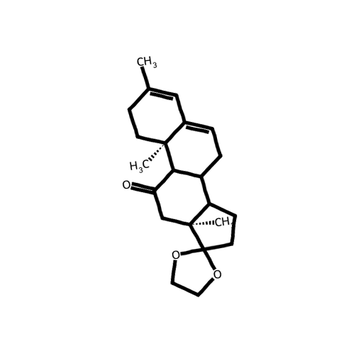 CC1=CC2=CCC3C(C(=O)C[C@@]4(C)C3CCC43OCCO3)[C@@]2(C)CC1